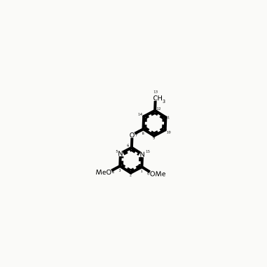 COc1cc(OC)nc(Oc2cccc(C)c2)n1